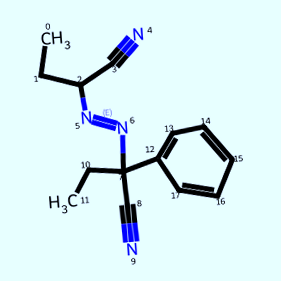 CCC(C#N)/N=N/C(C#N)(CC)c1ccccc1